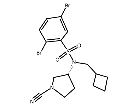 N#CN1CC[C@@H](N(CC2CCC2)S(=O)(=O)c2cc(Br)ccc2Br)C1